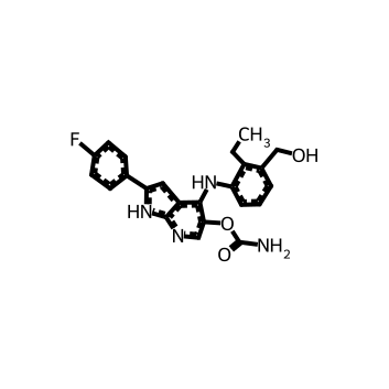 CCc1c(CO)cccc1Nc1c(OC(N)=O)cnc2[nH]c(-c3ccc(F)cc3)cc12